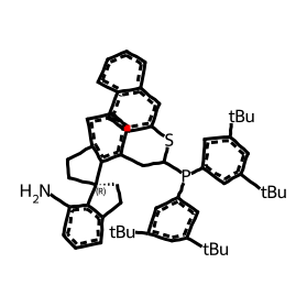 CC(C)(C)c1cc(P(c2cc(C(C)(C)C)cc(C(C)(C)C)c2)C(Cc2cccc3c2[C@]2(CCc4cccc(N)c42)CC3)Sc2ccc3ccccc3c2)cc(C(C)(C)C)c1